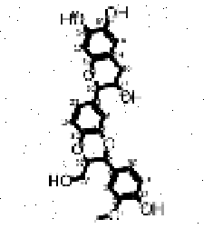 COc1cc(C2Oc3cc(C4Oc5cc(O)c(O)cc5CC4O)ccc3OC2CO)ccc1O